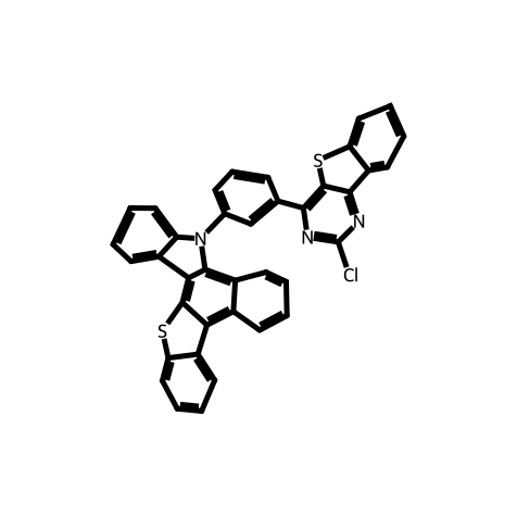 Clc1nc(-c2cccc(-n3c4ccccc4c4c5sc6ccccc6c5c5ccccc5c43)c2)c2sc3ccccc3c2n1